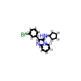 Brc1cccc(-c2nc3ccccn3c2NC2CCCC2)c1